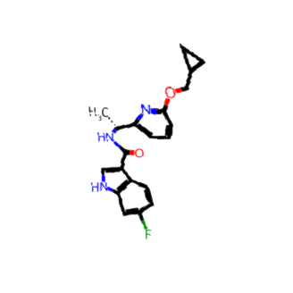 C[C@@H](NC(=O)c1c[nH]c2cc(F)ccc12)c1cccc(OCC2CC2)n1